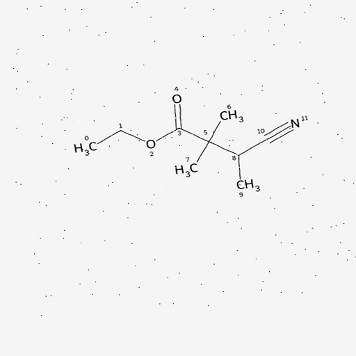 CCOC(=O)C(C)(C)C(C)C#N